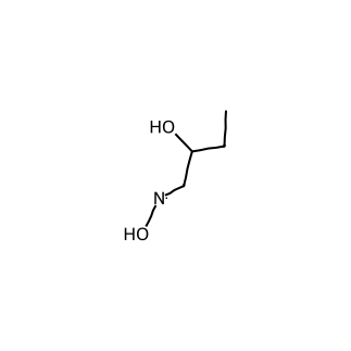 CCC(O)C[N]O